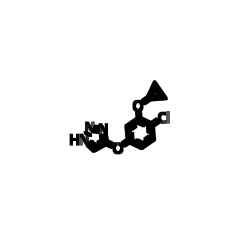 Clc1ccc(Oc2c[nH]nn2)cc1OC1CC1